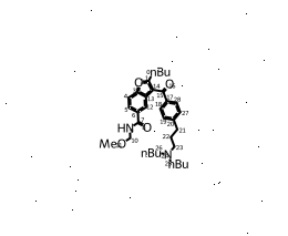 CCCCc1oc2ccc(C(=O)NCOC)cc2c1C(=O)c1ccc(CCCN(CCCC)CCCC)cc1